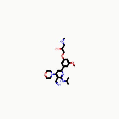 CNCC(O)COc1cc(OC)cc(-c2cc(N3CCOCC3)c(C=N)c(NC(C)C)n2)c1